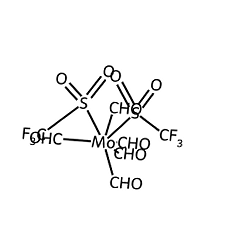 O=[CH][Mo]([CH]=O)([CH]=O)([CH]=O)([CH]=O)([S](=O)(=O)C(F)(F)F)[S](=O)(=O)C(F)(F)F